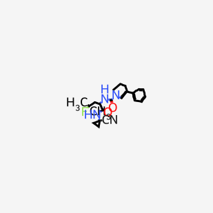 CC(C)(F)CC(NC(=O)N1C=C(c2ccccc2)CCC1)C(=O)NC1(C#N)CC1